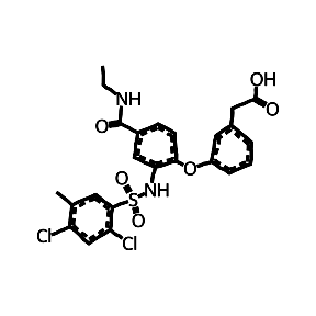 CCNC(=O)c1ccc(Oc2cccc(CC(=O)O)c2)c(NS(=O)(=O)c2cc(C)c(Cl)cc2Cl)c1